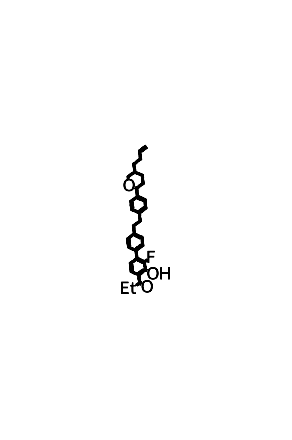 C=CCCC1CCC(c2ccc(CCc3ccc(-c4ccc(C(=O)CC)c(O)c4F)cc3)cc2)OC1